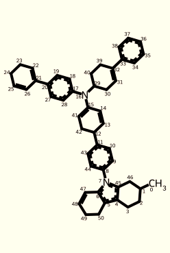 CC1CCc2c3c(n(-c4ccc(C5C=CC(N(c6ccc(C7=CCCC=C7)cc6)C6CC=C(c7ccccc7)CC6)=CC5)cc4)c2C1)C=CCC3